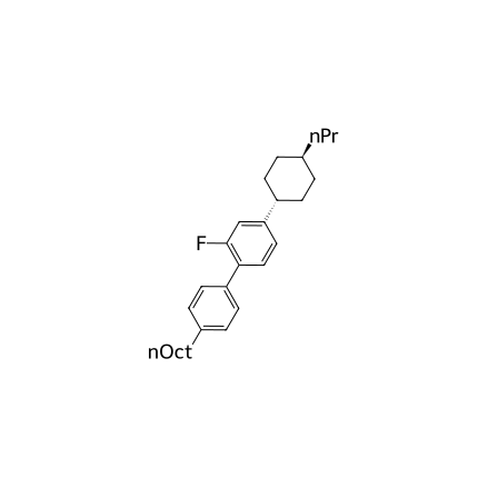 CCCCCCCCc1ccc(-c2ccc([C@H]3CC[C@H](CCC)CC3)cc2F)cc1